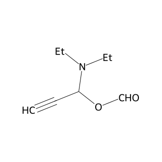 C#CC(OC=O)N(CC)CC